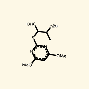 CCCCC(C)C(C=O)Sc1nc(OC)cc(OC)n1